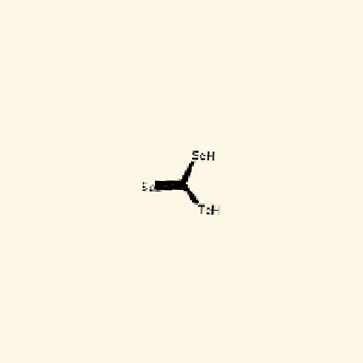 [Se]=C([SeH])[TeH]